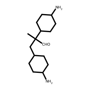 CC(C=O)(CC1CCC(N)CC1)C1CCC(N)CC1